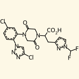 O=C(O)C(Cc1ccn(C(F)F)n1)N1CC(=O)N(c2cc(Cl)ccc2-n2cc(Cl)nn2)CC1=O